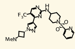 CN[C@H]1C[C@H](n2cc(-c3nc(NC4CCN(S(=O)(=O)c5ccccn5)CC4)ncc3C(F)(F)F)cn2)C1